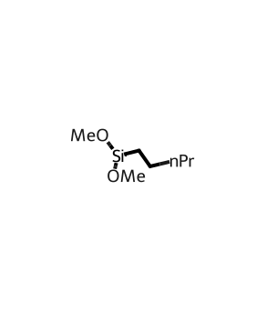 CCCCC[Si](OC)OC